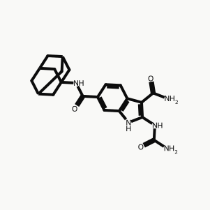 NC(=O)Nc1[nH]c2cc(C(=O)NC34CC5CC(CC(C5)C3)C4)ccc2c1C(N)=O